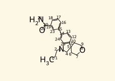 CCCN1CC2(CCOCC2)c2ccc(-c3cccc(C(N)=O)c3)cc21